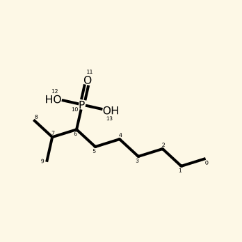 CCCCCCC(C(C)C)P(=O)(O)O